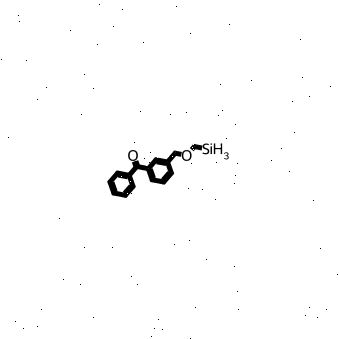 O=C(c1ccccc1)c1cccc(COC[SiH3])c1